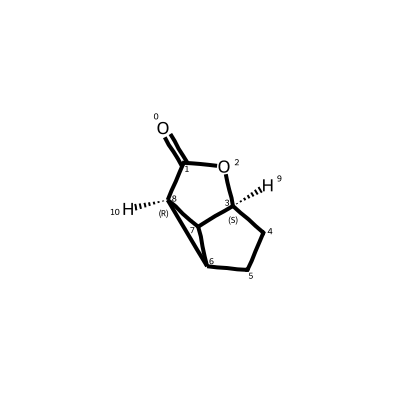 O=C1O[C@H]2CCC3C2[C@H]13